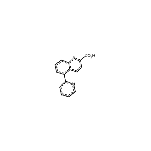 O=C(O)c1ccc2c(-c3ccccn3)cccc2n1